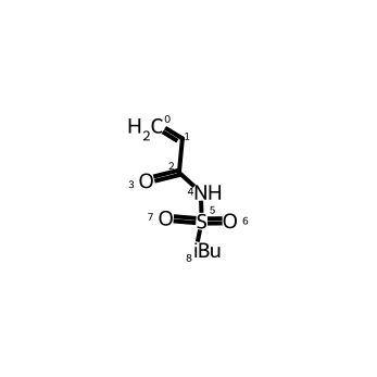 C=CC(=O)NS(=O)(=O)C(C)CC